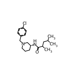 CC(C)CC(C)C(=O)N[C@H]1CCCN(Cc2ccc(Cl)cc2)C1